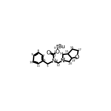 CC(C)(C)OC(=O)N(Cc1ccccc1)CN1CC2CCOC2C1